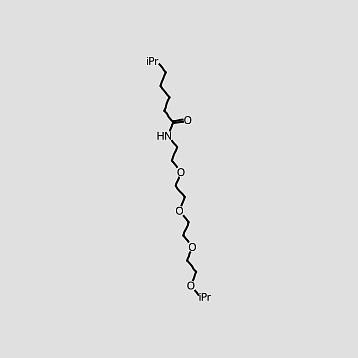 CC(C)CCCCC(=O)NCCOCCOCCOCCOC(C)C